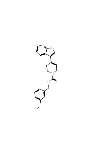 COc1cccc(CNC(=O)N2CC=C(c3c[nH]c4ncccc34)CC2)c1